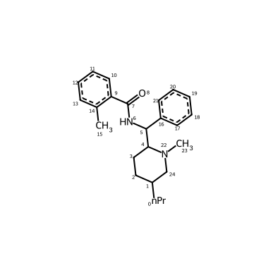 CCCC1CCC(C(NC(=O)c2ccccc2C)c2ccccc2)N(C)C1